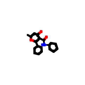 Cc1cc(=O)c(C(=O)Nc2ccccc2)c(-c2ccccc2)o1